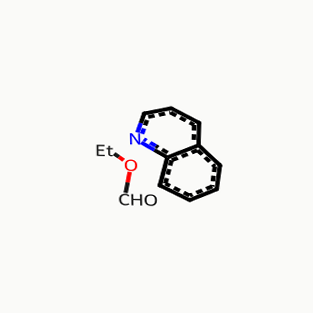 CCOC=O.c1ccc2ncccc2c1